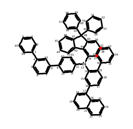 c1ccc(-c2cccc(-c3ccc(N(c4cc(-c5cccc6ccccc56)ccc4-c4ccccc4)c4cccc5c4-c4ccccc4C5(c4ccccc4)c4ccccc4)cc3)c2)cc1